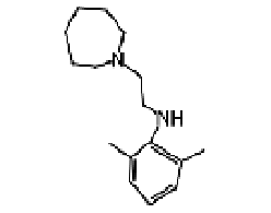 Cc1cccc(C)c1NCCN1CCCCCC1